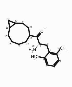 Cc1cccc(C)c1C[C@H](N)C(=O)C1CCCCC2CC2CC1